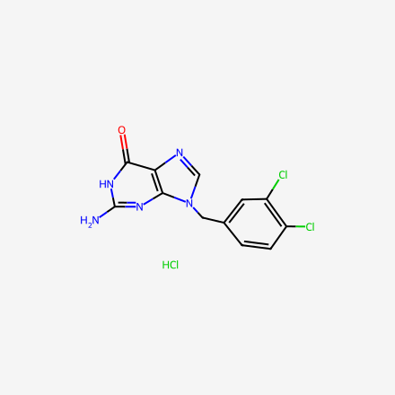 Cl.Nc1nc2c(ncn2Cc2ccc(Cl)c(Cl)c2)c(=O)[nH]1